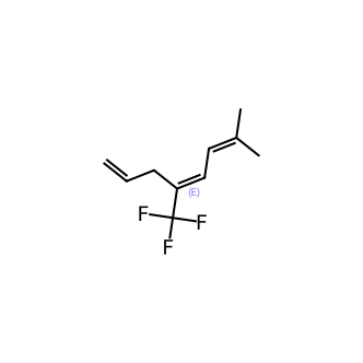 C=CC/C(=C\C=C(C)C)C(F)(F)F